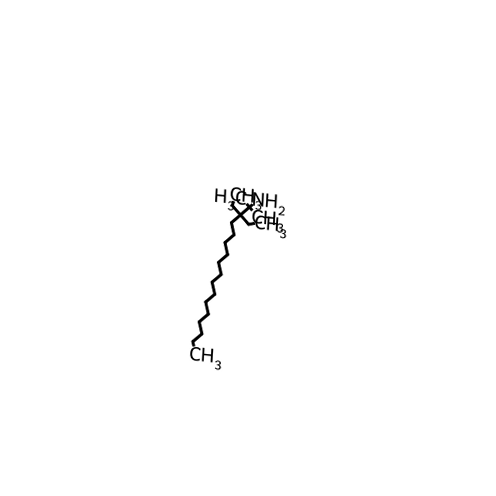 CCCCCCCCCCCCCCC(CC)(CC)C(C)(C)N